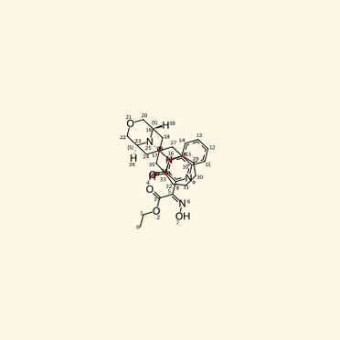 CCOC(=O)C(=NO)c1nc2ccccc2n(C2C[C@H]3COC[C@H](C2)N3[C@@H]2CC3CCCC[C@H](C3)C2)c1=O